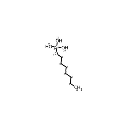 CCCCCCCO[Si](O)(O)O